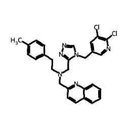 Cc1ccc(CCN(Cc2ccc3ccccc3n2)Cc2nncn2Cc2cnc(Cl)c(Cl)c2)cc1